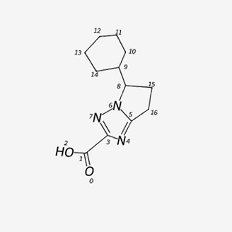 O=C(O)c1nc2n(n1)C(C1CCCCC1)CC2